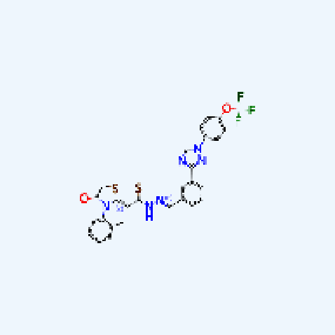 Cc1ccccc1N1C(=O)CS/C1=C\C(=S)N/N=C/c1cccc(-c2ncn(-c3ccc(OC(F)(F)F)cc3)n2)c1